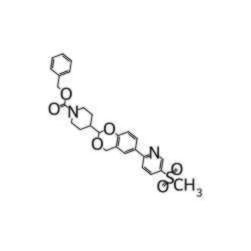 CS(=O)(=O)c1ccc(-c2ccc3c(c2)COC(C2CCN(C(=O)OCc4ccccc4)CC2)O3)nc1